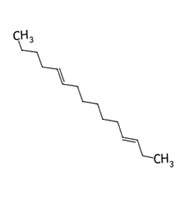 CCC=CCCCCCC=CCCCC